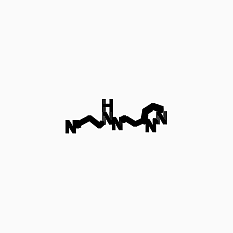 N#CCCN/N=C/Cc1cccnn1